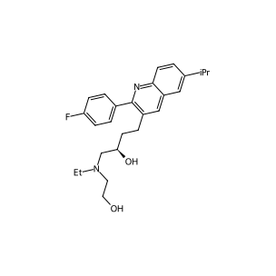 CCN(CCO)C[C@H](O)CCc1cc2cc(C(C)C)ccc2nc1-c1ccc(F)cc1